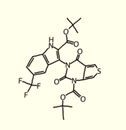 CC(C)(C)OC(=O)c1[nH]c2ccc(C(F)(F)F)cc2c1-n1c(=O)c2cscc2n(C(=O)OC(C)(C)C)c1=O